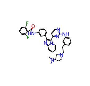 CN(C)C1CCN(CCc2cccc(Nc3nccc(-c4c(-c5cccc(NC(=O)c6c(F)cccc6F)c5)nc5ccccn45)n3)c2)C1